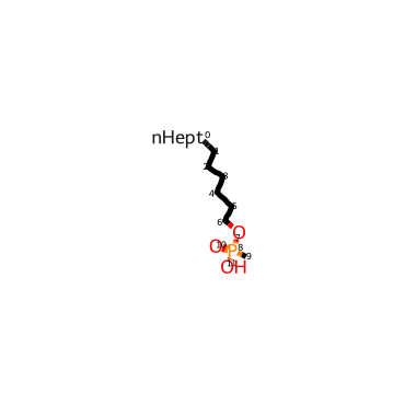 CCCCCCCCCCCCCOP(C)(=O)O